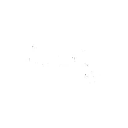 N#Cc1cc(COc2cc3n(c(=O)n2)CC24CC(CN32)C4)ccc1F